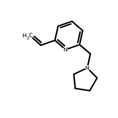 C=Cc1cccc(CN2CCCC2)n1